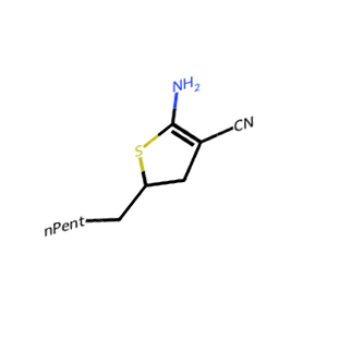 CCCCCCC1CC(C#N)=C(N)S1